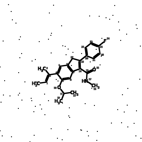 C/C=C(\C)c1cc2c(cc1OC(C)C)C(C(=O)NC)=C(c1ccc(F)cc1)C2